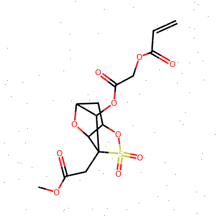 C=CC(=O)OCC(=O)OC1C2CC3OS(=O)(=O)C1(CC(=O)OC)C3O2